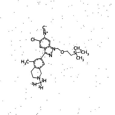 [2H]C([2H])([2H])N1CCc2c(C)cc(-c3nn(COCC[Si](C)(C)C)c4cc([N+]#[C-])c(Cl)cc34)cc2C1